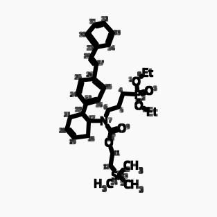 CCOP(=O)(CCCN(C(=O)OCC[Si](C)(C)C)C1CC=CCC1c1ccc(C=Cc2ccccc2)cc1)OCC